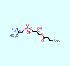 CCCCCCCCCCCCC(=O)OC[C@@H](O)COP(=O)(O)OC[C@H](N)C(=O)O